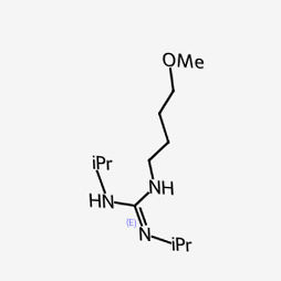 COCCCCN/C(=N\C(C)C)NC(C)C